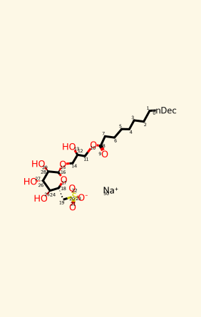 CCCCCCCCCCCCCCCCCC(=O)OCC(O)CO[C@H]1O[C@H](CS(=O)(=O)[O-])[C@@H](O)[C@H](O)[C@H]1O.[Na+]